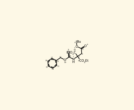 CCOC(=O)C(CC(=O)OC(C)(C)C)(NC(=O)OCc1ccccc1)C(=O)OCC